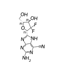 N#Cc1nc(N)nc2nc([C@@H]3O[C@H](CO)[C@@H](O)C3(F)F)[nH]c12